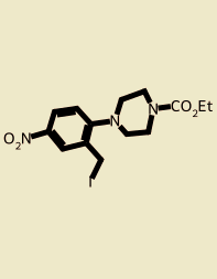 CCOC(=O)N1CCN(c2ccc([N+](=O)[O-])cc2CI)CC1